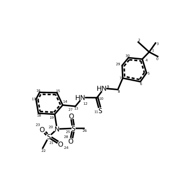 CC(C)(C)c1ccc(CNC(=S)NCc2ccccc2N(S(C)(=O)=O)S(C)(=O)=O)cc1